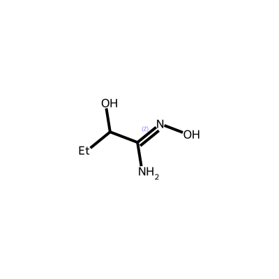 CCC(O)/C(N)=N/O